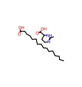 CC1=NCCC(C(=O)O)N1.CCCCCCCCCCCCCCCC(=O)O